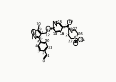 C=Cc1ccc(-c2noc(C)c2COc2ccc(C(=O)N3CCS(=O)(=O)CC3)cn2)cc1